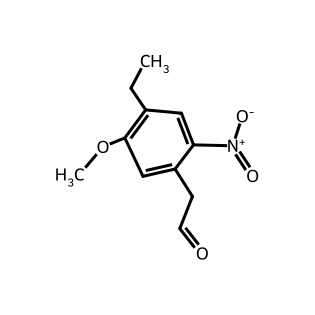 CCc1cc([N+](=O)[O-])c(CC=O)cc1OC